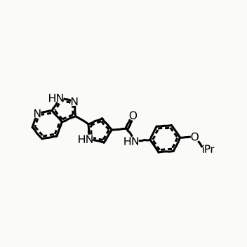 CC(C)Oc1ccc(NC(=O)c2c[nH]c(-c3n[nH]c4ncccc34)c2)cc1